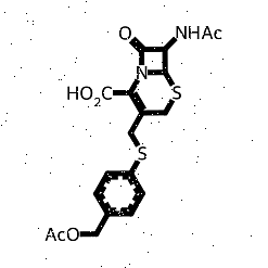 CC(=O)NC1C(=O)N2C(C(=O)O)=C(CSc3ccc(COC(C)=O)cc3)CSC12